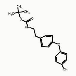 CC(C)(C)OC(=O)NCCc1ccc(Oc2ccc(O)cc2)cc1